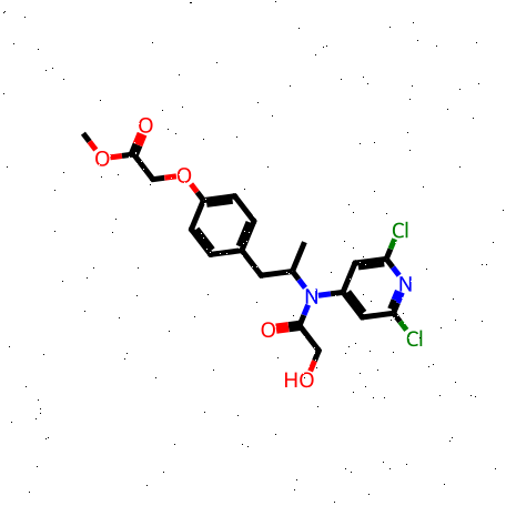 COC(=O)COc1ccc(CC(C)N(C(=O)CO)c2cc(Cl)nc(Cl)c2)cc1